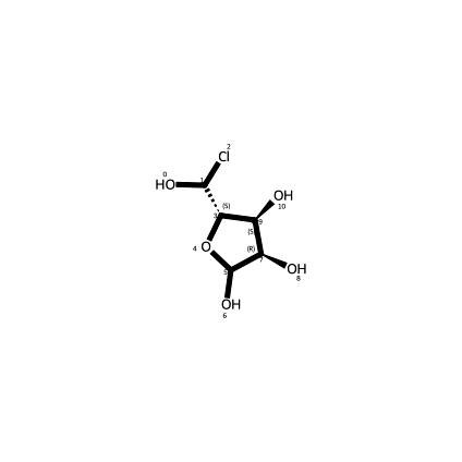 OC(Cl)[C@H]1OC(O)[C@H](O)[C@@H]1O